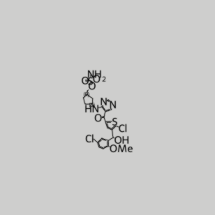 COc1ccc(Cl)cc1C(O)c1cc(C(=O)c2cncnc2N[C@H]2CC[C@@H](COS(N)(=O)=O)C2)sc1Cl